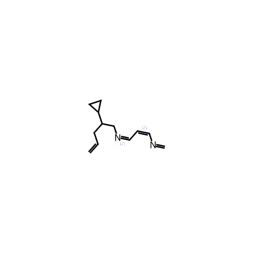 C=CCC(C/N=C\C=C/N=C)C1CC1